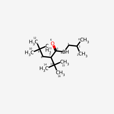 CC(C)CBC(=O)C(CC(C)(C)C)C(C)(C)C